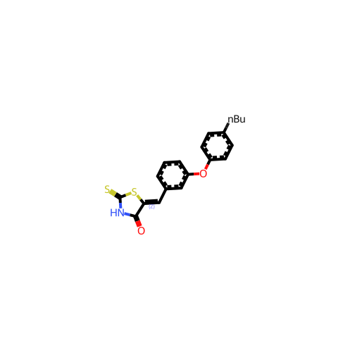 CCCCc1ccc(Oc2cccc(/C=C3\SC(=S)NC3=O)c2)cc1